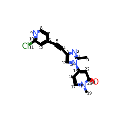 Cc1nc(C#Cc2ccnc(Cl)c2)cn1-c1ccn(C)c(=O)c1